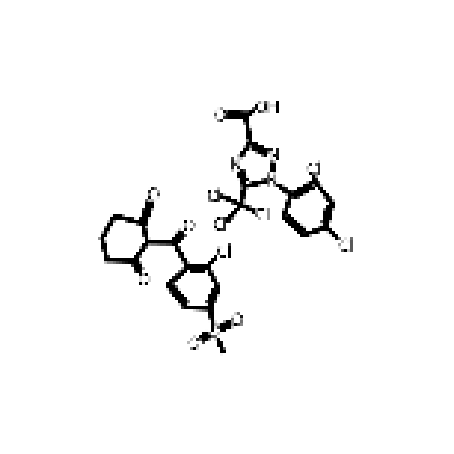 CS(=O)(=O)c1ccc(C(=O)C2C(=O)CCCC2=O)c(Cl)c1.O=C(O)c1nc(C(Cl)(Cl)Cl)n(-c2ccc(Cl)cc2Cl)n1